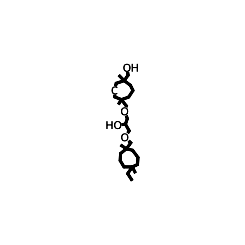 CCC1(C)CCCC(C)(COCC(O)COCC2(C)CCCC(C)(CO)CCC2)CCC1